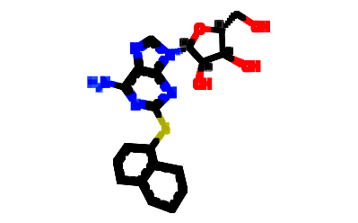 Nc1nc(Sc2cccc3ccccc23)nc2c1ncn2[C@@H]1O[C@H](CO)[C@@H](O)[C@H]1O